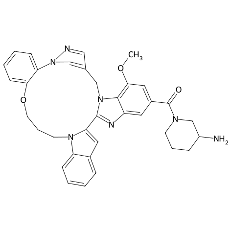 COc1cc(C(=O)N2CCCC(N)C2)cc2nc3n(c12)Cc1cnn(c1)-c1ccccc1OCCCn1c-3cc2ccccc21